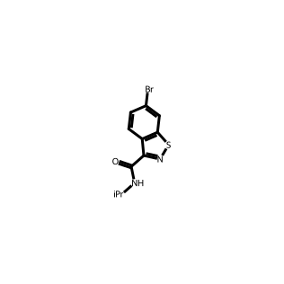 CC(C)NC(=O)c1nsc2cc(Br)ccc12